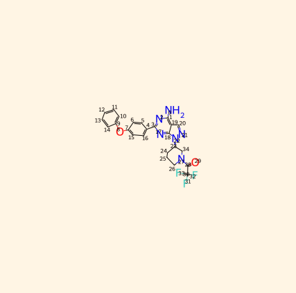 Nc1nc(-c2ccc(Oc3ccccc3)cc2)nc2c1cnn2[C@@H]1CCCN(C(=O)C(F)(F)F)C1